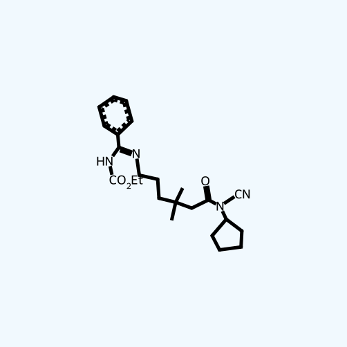 CCOC(=O)NC(=NCCCC(C)(C)CC(=O)N(C#N)C1CCCC1)c1ccccc1